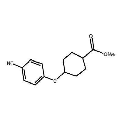 COC(=O)C1CCC(Oc2ccc(C#N)cc2)CC1